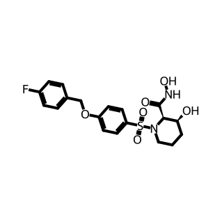 O=C(NO)[C@H]1[C@@H](O)CCCN1S(=O)(=O)c1ccc(OCc2ccc(F)cc2)cc1